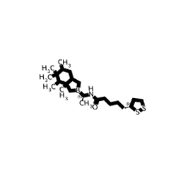 CC1CC2CB([C@@H](C)NC(=O)CCCC[C@@H]3CCSS3)CC2(C)C(C)C1(C)C